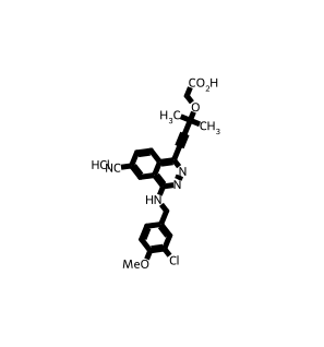 COc1ccc(CNc2nnc(C#CC(C)(C)OCC(=O)O)c3ccc(C#N)cc23)cc1Cl.Cl